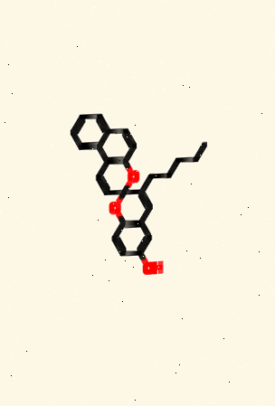 CCCCCC1=Cc2cc(O)ccc2OC12C=Cc1c(ccc3ccccc13)O2